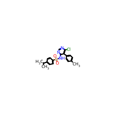 Cc1ccc(-c2c(Cl)ncnc2NS(=O)(=O)c2ccc(C(C)C)cc2)cc1